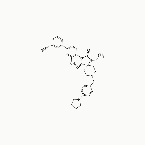 CCN1C(=O)N(c2ccc(-c3cccc(C#N)c3)cc2C)C(=O)C12CCN(Cc1ccc(N3CCCC3)cc1)CC2